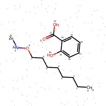 CCCCCCCCO[NH][Zn].O=C(O)c1ccccc1O